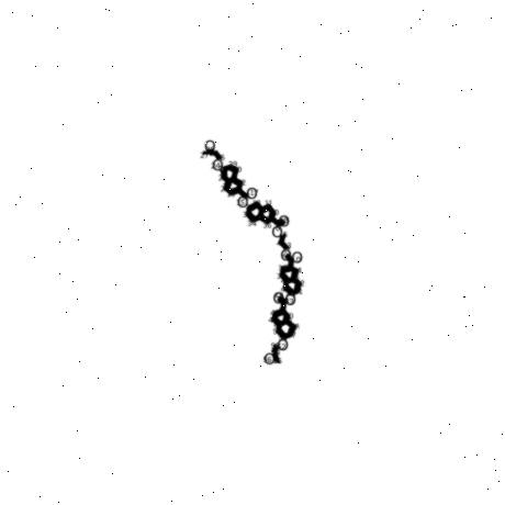 O=C(OCCCOC(=O)c1ccc2cc(OC(=O)c3ccc4cc(OCC5CO5)ccc4c3)ccc2c1)c1ccc2cc(OC(=O)c3ccc4cc(OCC5CO5)ccc4c3)ccc2c1